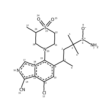 CC(CC(C)(C)[S+](N)[O-])c1cc(Cl)c2c(C#N)ncn2c1N1CCS(=O)(=O)C(C)C1